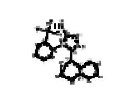 FC(F)(F)c1ccccc1-n1c(S)nnc1-c1nccc2ccccc12